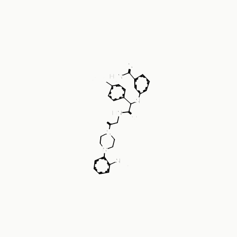 N=C(N)c1cccc(NC(C(=O)NCC(=O)N2CCN(c3ccccc3[N+](=O)[O-])CC2)c2ccc(C(=O)O)cc2)c1